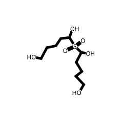 O=S(=O)(C(O)CCCCO)C(O)CCCCO